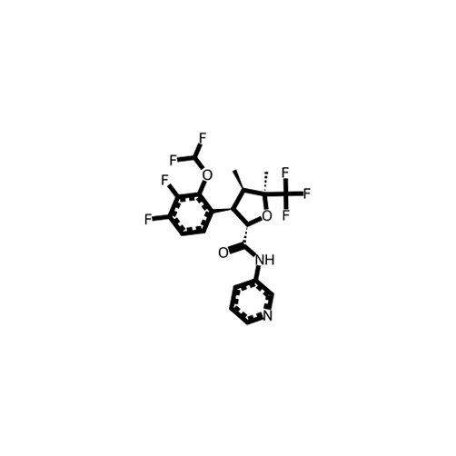 C[C@@H]1[C@H](c2ccc(F)c(F)c2OC(F)F)[C@@H](C(=O)Nc2cccnc2)O[C@]1(C)C(F)(F)F